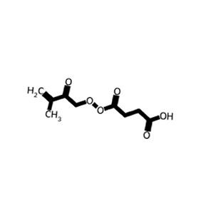 C=C(C)C(=O)COOC(=O)CCC(=O)O